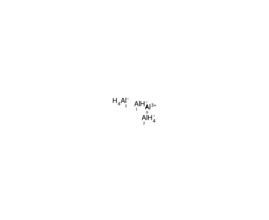 [Al+3].[AlH4-].[AlH4-].[AlH4-]